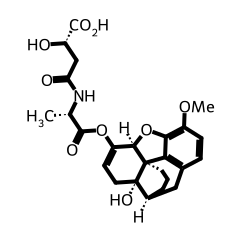 COc1ccc2c3c1O[C@@H]1C(OC(=O)[C@H](C)NC(=O)C[C@H](O)C(=O)O)=CC[C@]4(O)[C@@H](CCC[C@@]314)C2